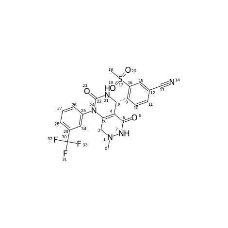 CN1CC2=C(C(=O)N1)[C@@H](c1ccc(C#N)cc1S(C)(=O)=O)NC(=O)N2c1cccc(C(F)(F)F)c1